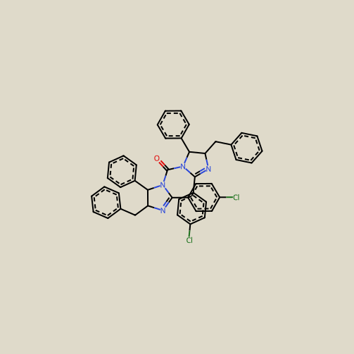 O=C(N1C(c2ccc(Cl)cc2)=NC(Cc2ccccc2)C1c1ccccc1)N1C(c2ccc(Cl)cc2)=NC(Cc2ccccc2)C1c1ccccc1